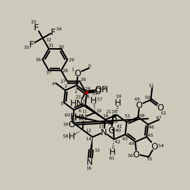 COc1c(C)cc2c(c1O)[C@@H]1N[C@H](C2)[C@H](C#N)N2C1[C@@H]1SC[C@H](NC(=O)/C=C/c3ccc(C(F)(F)F)cc3)C(=O)OC[C@H]2c2c3c(c(C)c(OC(C)=O)c21)OCO3